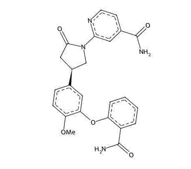 COc1ccc([C@H]2CC(=O)N(c3cc(C(N)=O)ccn3)C2)cc1Oc1ccccc1C(N)=O